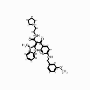 COc1cccc(CNc2ccc3c(=O)c(C(=O)NCCN4CCCC4)c4n(C)c5ccccc5n4c3n2)c1